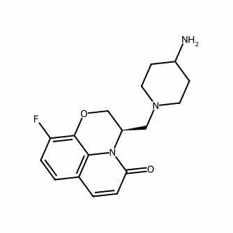 NC1CCN(C[C@@H]2COc3c(F)ccc4ccc(=O)n2c34)CC1